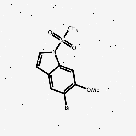 COc1cc2c(ccn2S(C)(=O)=O)cc1Br